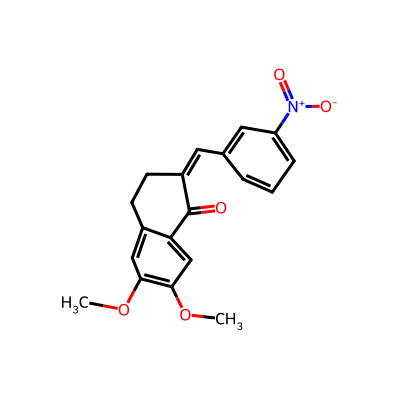 COc1cc2c(cc1OC)C(=O)C(=Cc1cccc([N+](=O)[O-])c1)CC2